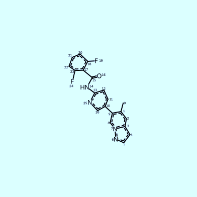 Cc1cc2ccnn2cc1-c1ccc(NC(=O)c2c(F)cccc2F)nc1